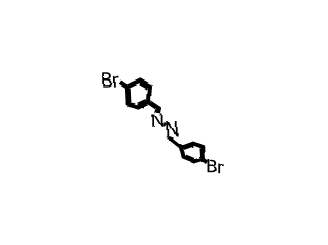 Brc1ccc(C=NN=Cc2ccc(Br)cc2)cc1